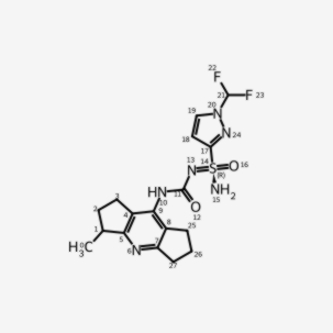 CC1CCc2c1nc1c(c2NC(=O)N=[S@@](N)(=O)c2ccn(C(F)F)n2)CCC1